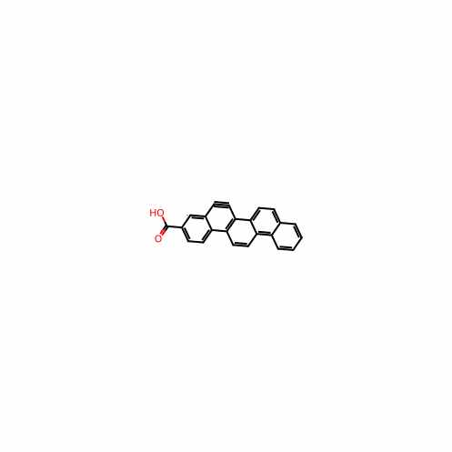 O=C(O)c1[c]c2c#cc3c(ccc4c5ccccc5ccc34)c2cc1